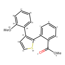 COC(=O)c1ccccc1-c1sccc1-c1ccccc1OC